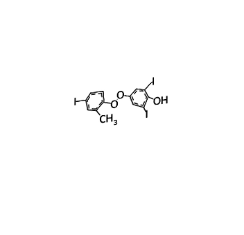 Cc1cc(I)ccc1OOc1cc(I)c(O)c(I)c1